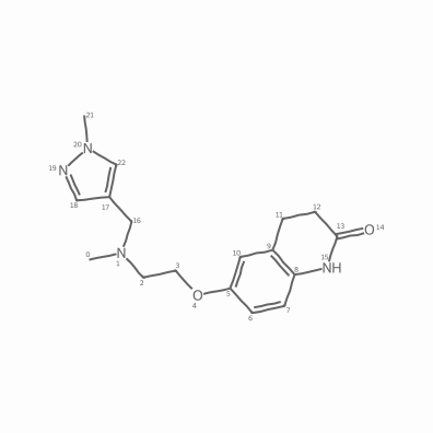 CN(CCOc1ccc2c(c1)CCC(=O)N2)Cc1cnn(C)c1